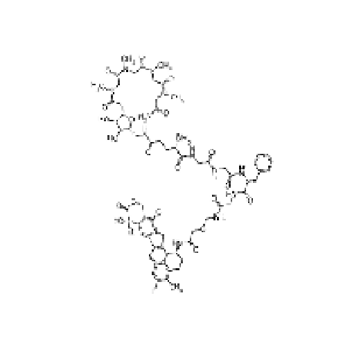 CC[C@@]1(O)C(=O)OCc2c1cc1n(c2=O)Cc2c-1nc1cc(F)c(C)c3c1c2[C@@H](NC(=O)COCNC(=O)CNC(=O)[C@H](Cc1ccccc1)NC(=O)CNC(=O)CNC(=O)[C@@H](N)CCC(=O)NC[C@H]1O[C@@H](CC(=O)N(C)CC(=O)N(C)CC(=O)N(C)CC(=O)N(C)CC(N)=O)[C@H](O)[C@@H]1O)CC3